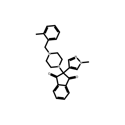 Cc1ccccc1CN1CCN(C2(c3cnn(C)c3)C(=O)c3ccccc3C2=O)CC1